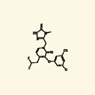 C=C1NN=C(Cn2ccc(CC(F)F)c(Oc3cc(Cl)cc(C#N)c3)c2=O)N1C